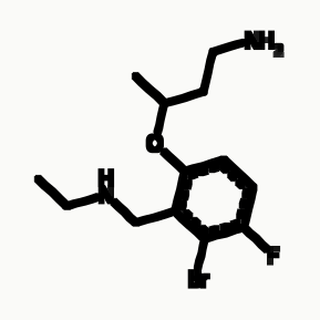 CCNCc1c(OC(C)CCN)ccc(F)c1Br